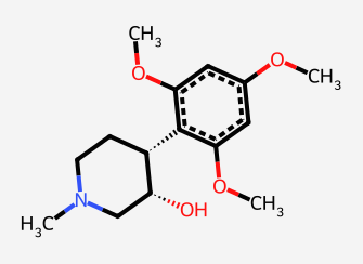 COc1cc(OC)c([C@H]2CCN(C)C[C@H]2O)c(OC)c1